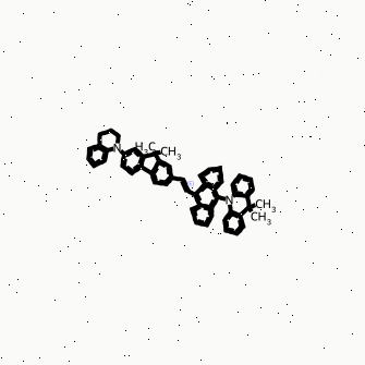 CC1(C)c2cc(/C=C/c3c4ccccc4c(N4c5ccccc5C(C)(C)c5ccccc54)c4ccccc34)ccc2-c2ccc(N3CCCc4ccccc43)cc21